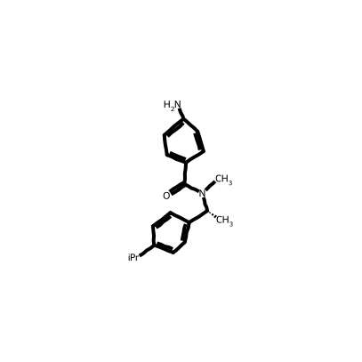 CC(C)c1ccc([C@@H](C)N(C)C(=O)c2ccc(N)cc2)cc1